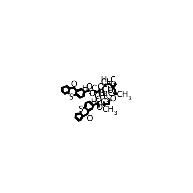 CCC(C)(CC(C)(C)OCCC(C)(C)OC(=O)c1ccc2sc3ccccc3c(=O)c2c1)CC(C)(C)OCC(C)(C)OC(=O)c1ccc2sc3ccccc3c(=O)c2c1